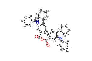 O=c1oc(=O)c2cc3c(cc2c2cc4c5ccccc5n(-c5ccccc5)c4cc12)c1ccccc1n3-c1ccccc1